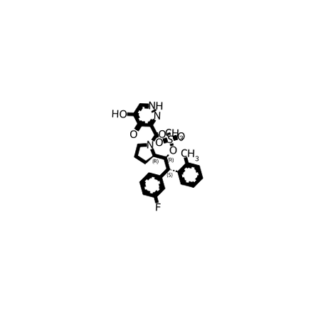 Cc1ccccc1[C@H](c1cccc(F)c1)[C@@H](OS(C)(=O)=O)[C@H]1CCCN1C(=O)c1n[nH]cc(O)c1=O